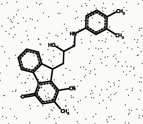 Cc1ccc(NCC(O)CC2c3ccccc3-n3c2c(C#N)c(C)cc3=O)cc1C